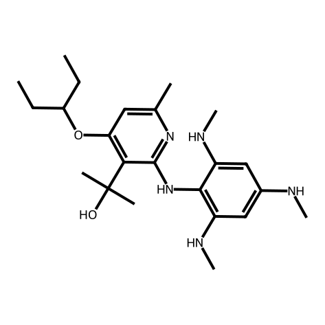 CCC(CC)Oc1cc(C)nc(Nc2c(NC)cc(NC)cc2NC)c1C(C)(C)O